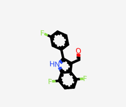 O=Cc1c(-c2cccc(F)c2)[nH]c2c(F)ccc(F)c12